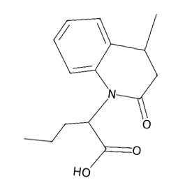 CCCC(C(=O)O)N1C(=O)CC(C)c2ccccc21